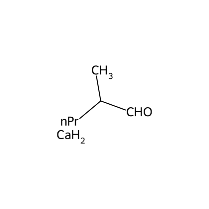 CCCC(C)C=O.[CaH2]